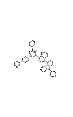 c1ccc(-c2nc(-c3ccc(-c4cccnc4)cc3)cc(-c3ccc(-c4cccc5c4c4ccccc4n5-c4ccccc4)c4ccccc34)n2)cc1